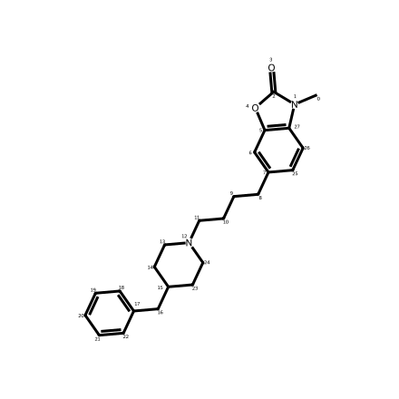 Cn1c(=O)oc2cc(CCCCN3CCC(Cc4ccccc4)CC3)ccc21